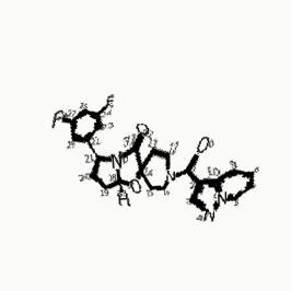 O=C(c1cnn2ccccc12)N1CCC2(CC1)O[C@@H]1CC[C@@H](c3cc(F)cc(F)c3)N1C2=O